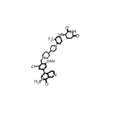 COc1cc(-c2cn(C)c(=O)c3cnccc23)cc(Cl)c1CN1CCC(C2CCN(c3ccc(NC4CCC(=O)NC4=O)cc3C(F)(F)F)CC2)CC1